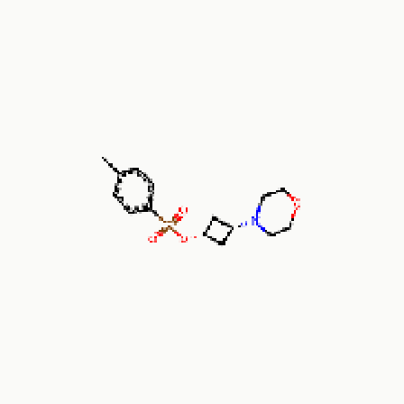 Cc1ccc(S(=O)(=O)O[C@H]2C[C@@H](N3CCOCC3)C2)cc1